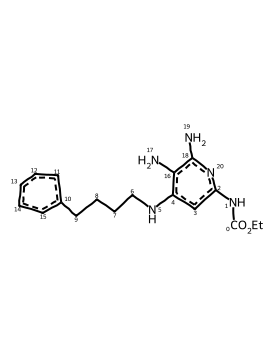 CCOC(=O)Nc1cc(NCCCCc2ccccc2)c(N)c(N)n1